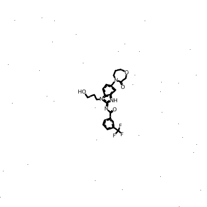 O=C(/N=c1\[nH]c2cc(N3CCCOCC3=O)ccc2n1CCCO)c1cccc(C(F)(F)F)c1